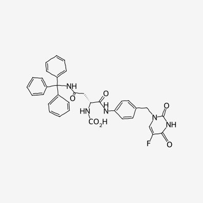 O=C(O)N[C@H](CC(=O)NC(c1ccccc1)(c1ccccc1)c1ccccc1)C(=O)Nc1ccc(Cn2cc(F)c(=O)[nH]c2=O)cc1